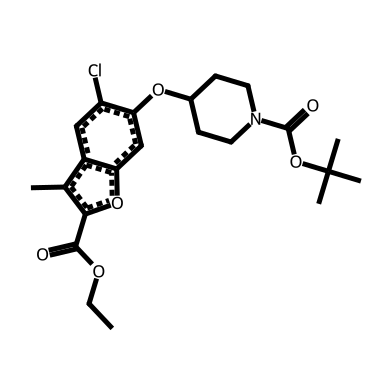 CCOC(=O)c1oc2cc(OC3CCN(C(=O)OC(C)(C)C)CC3)c(Cl)cc2c1C